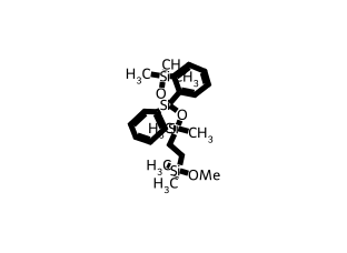 CO[Si](C)(C)CC[Si](C)(C)O[Si](O[Si](C)(C)C)(c1ccccc1)c1ccccc1